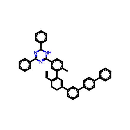 C=CC1=C(c2cc(C3=NC(c4ccccc4)=NC(c4ccccc4)N3)ccc2C)C=C(c2cccc(-c3ccc(-c4ccccc4)cc3)c2)CC1